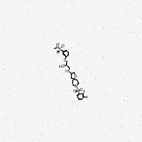 CNS(=O)(=O)c1cccc(OCC(O)CNC2COC3(CCN(S(=O)(=O)c4cccc(F)c4F)CC3)C2)c1